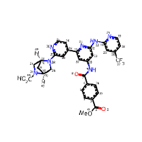 COC(=O)c1ccc(C(=O)Nc2cc(Nc3cc(C(F)(F)F)ccn3)nc(-c3ccnc(N4C[C@@H]5C[C@H]4CN5C(=O)O)c3)c2)cc1